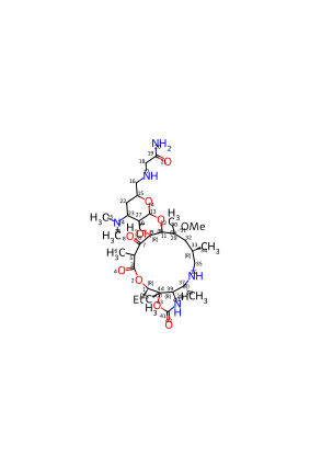 CC[C@H]1OC(=O)C(C)C(=O)[C@H](C)[C@@H](OC2OC(CNCC(N)=O)CC(N(C)C)C2O)[C@](C)(OC)C[C@@H](C)CN[C@H](C)[C@H]2NC(=O)O[C@@]21C